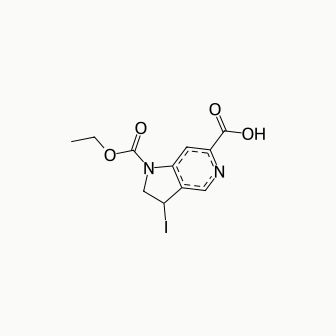 CCOC(=O)N1CC(I)c2cnc(C(=O)O)cc21